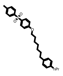 CCCc1ccc(CCCCCCCOc2ccc(S(=O)(=O)c3ccc(C)cc3)cc2)cc1